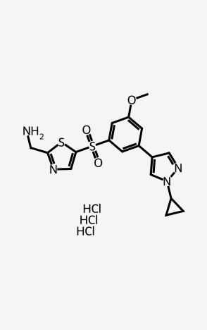 COc1cc(-c2cnn(C3CC3)c2)cc(S(=O)(=O)c2cnc(CN)s2)c1.Cl.Cl.Cl